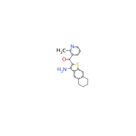 Cc1ncccc1C(=O)c1sc2cc3c(cc2c1N)CCCC3